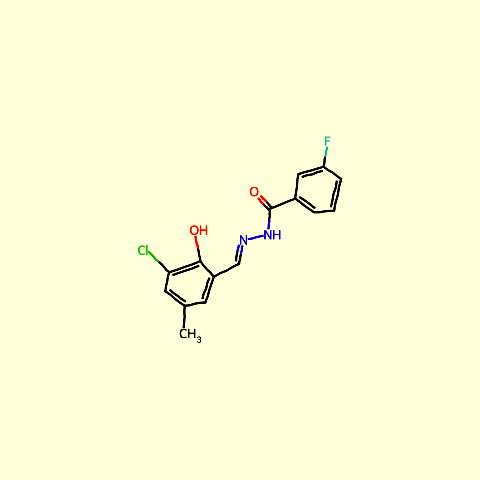 Cc1cc(Cl)c(O)c(/C=N/NC(=O)c2cccc(F)c2)c1